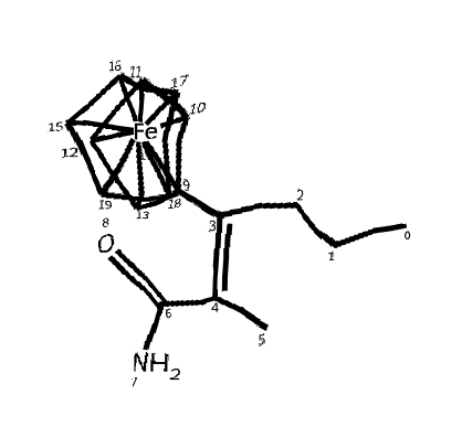 CCCC(=C(C)C(N)=O)[C]12[CH]3[CH]4[CH]5[CH]1[Fe]45321678[CH]2[CH]1[CH]6[CH]7[CH]28